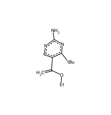 C=C(OCC)c1cnc(N)nc1C(C)(C)C